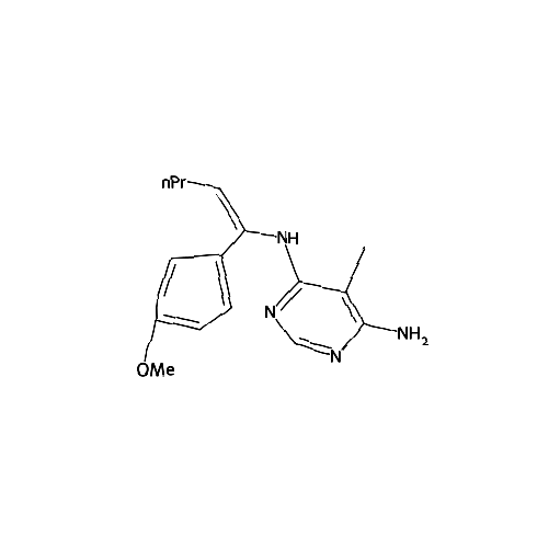 CCC/C=C(/Nc1ncnc(N)c1C)c1ccc(OC)cc1